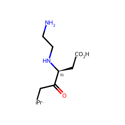 C[C](C)CC(=O)[C@H](CC(=O)O)NCCN